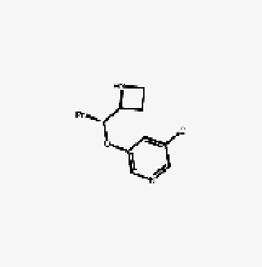 CC(C)[C@H](Oc1cncc(Cl)c1)C1CCN1